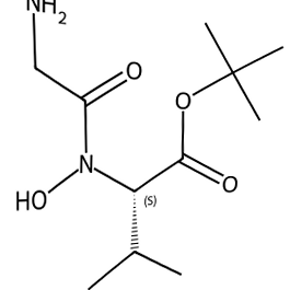 CC(C)[C@@H](C(=O)OC(C)(C)C)N(O)C(=O)CN